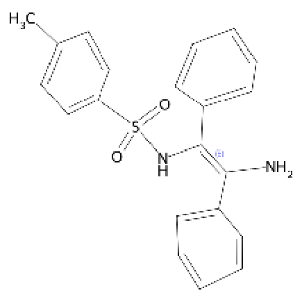 Cc1ccc(S(=O)(=O)N/C(=C(/N)c2ccccc2)c2ccccc2)cc1